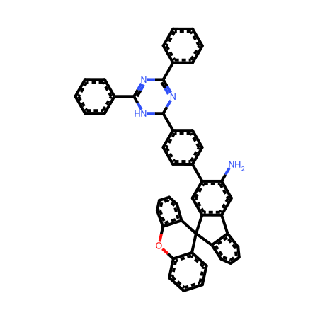 Nc1cc2c(cc1-c1ccc(C3N=C(c4ccccc4)N=C(c4ccccc4)N3)cc1)C1(c3ccccc3Oc3ccccc31)c1ccccc1-2